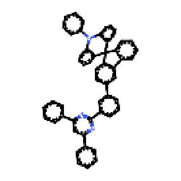 c1ccc(-c2cc(-c3ccccc3)nc(-c3cccc(-c4ccc5c(c4)-c4ccccc4C54c5ccccc5N(c5ccccc5)c5ccccc54)c3)n2)cc1